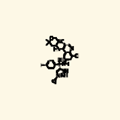 BC(Nc1cc(Cl)c2ncc(C#N)c(NC3CCOC(C)(C)C3)c2c1)(C1=CN(C2CC2)NN1)c1ccc(F)cc1